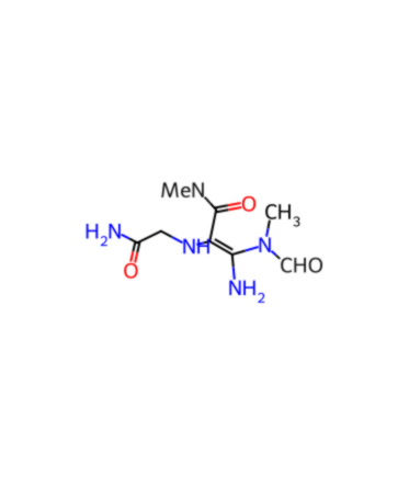 CNC(=O)/C(NCC(N)=O)=C(/N)N(C)C=O